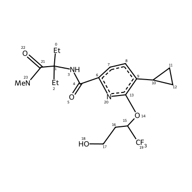 CCC(CC)(NC(=O)c1ccc(C2CC2)c(OC(CCO)C(F)(F)F)n1)C(=O)NC